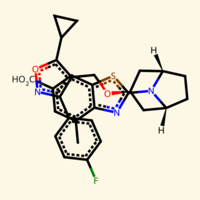 Cc1cc(C(=O)O)cc2sc(N3[C@@H]4CC[C@H]3C[C@H](OCc3c(-c5ccc(F)cc5)noc3C3CC3)C4)nc12